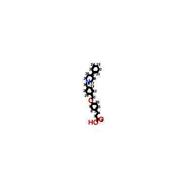 O=C(O)CCc1ccc(OCc2ccc(CN3CCC(C4=CCCC=C4)CC3)cc2)cc1